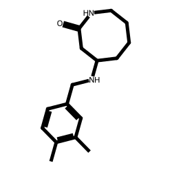 Cc1ccc(CNC2CCCCNC(=O)C2)cc1C